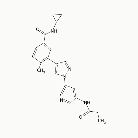 CCC(=O)Nc1cncc(-n2cc(-c3cc(C(=O)NC4CC4)ccc3C)cn2)c1